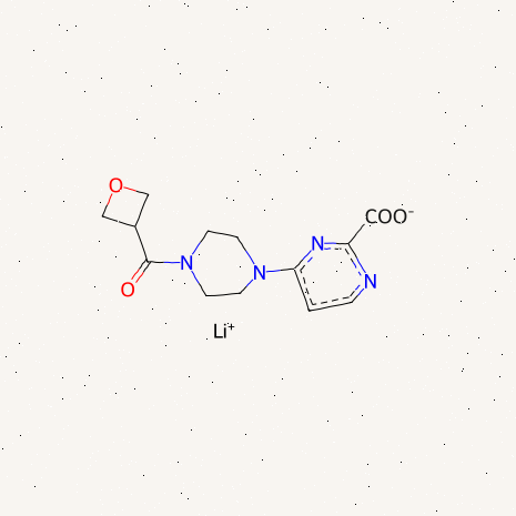 O=C([O-])c1nccc(N2CCN(C(=O)C3COC3)CC2)n1.[Li+]